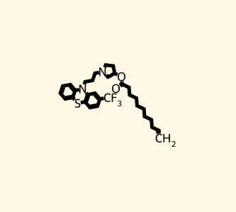 C=CCCCCCCCCC(=O)OC1CCN(CCCN2c3ccccc3Sc3ccc(C(F)(F)F)cc32)C1